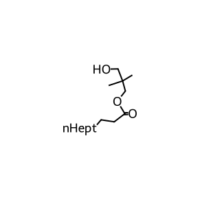 CCCCCCCCCC(=O)OCC(C)(C)CO